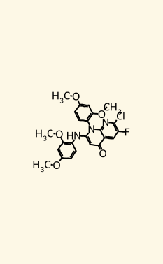 COc1ccc(Nc2cc(=O)c3cc(F)c(Cl)nc3n2-c2ccc(OC)cc2OC)c(OC)c1